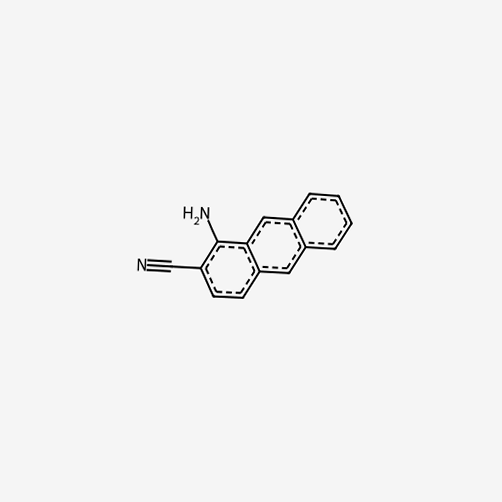 N#Cc1ccc2cc3ccccc3cc2c1N